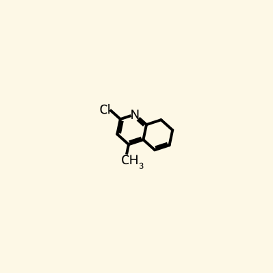 Cc1cc(Cl)nc2c1C=CCC2